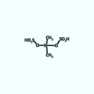 C[Si](C)(OS(=O)(=O)O)OS(=O)(=O)O